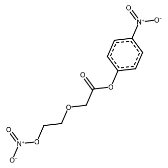 O=C(COCCO[N+](=O)[O-])Oc1ccc([N+](=O)[O-])cc1